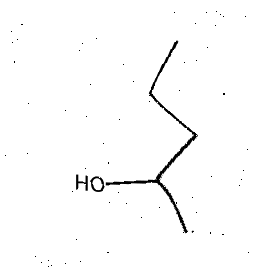 [CH2]C(O)CCC